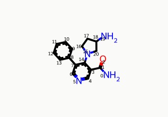 NC(=O)c1cncc(-c2ccccc2)c1N1CCC(N)C1